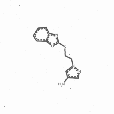 Nc1cnn(CCSc2nc3ccccc3o2)c1